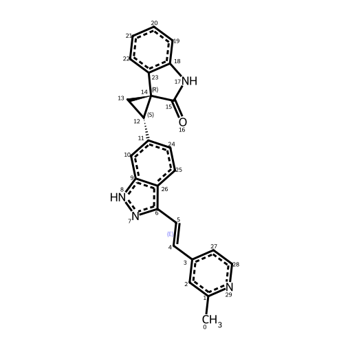 Cc1cc(/C=C/c2n[nH]c3cc([C@@H]4C[C@@]45C(=O)Nc4ccccc45)ccc23)ccn1